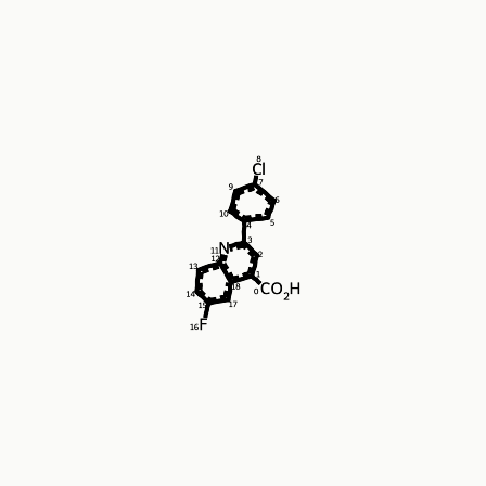 O=C(O)c1cc(-c2ccc(Cl)cc2)nc2ccc(F)cc12